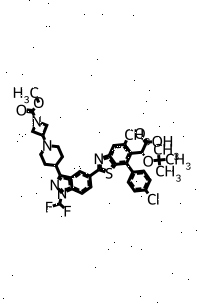 COC(=O)N1CC(N2CCC(c3nn(C(F)F)c4ccc(-c5nc6cc(C)c([C@H](OC(C)(C)C)C(=O)O)c(-c7ccc(Cl)cc7)c6s5)cc34)CC2)C1